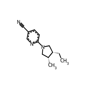 CC[C@H]1CN(c2ccc(C#N)cn2)C[C@H]1C